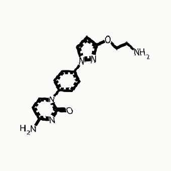 NCCOc1ccn(-c2ccc(-n3ccc(N)nc3=O)cc2)n1